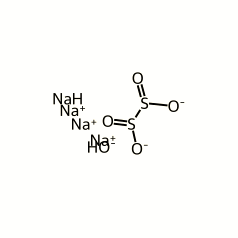 O=S([O-])S(=O)[O-].[Na+].[Na+].[Na+].[NaH].[OH-]